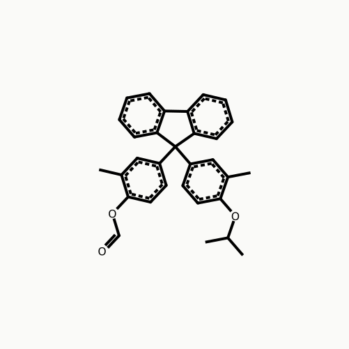 Cc1cc(C2(c3ccc(OC(C)C)c(C)c3)c3ccccc3-c3ccccc32)ccc1OC=O